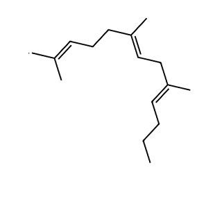 [CH2]C(C)=CCCC(C)=CCC(C)=CCCC